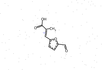 C/C(=C\c1ccc(C=O)o1)C(=O)O